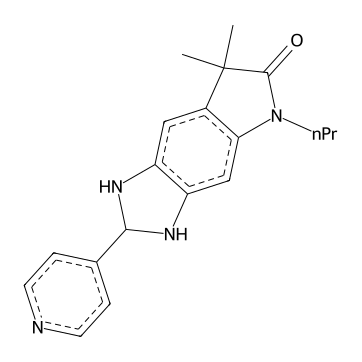 CCCN1C(=O)C(C)(C)c2cc3c(cc21)NC(c1ccncc1)N3